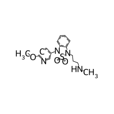 CNCCCN1c2ccccc2N(c2ccc(OC)nc2)S1(=O)=O